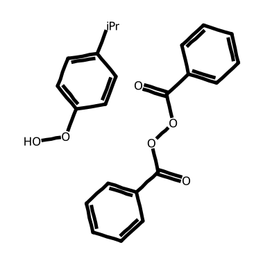 CC(C)c1ccc(OO)cc1.O=C(OOC(=O)c1ccccc1)c1ccccc1